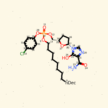 CCCCCCCCCCCCCCCCCCOP(=O)(OC[C@@H]1CC[C@H](n2cnc(C(N)=O)c2O)O1)Oc1ccc(Cl)cc1